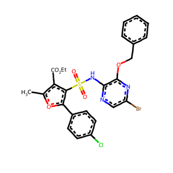 CCOC(=O)c1c(C)oc(-c2ccc(Cl)cc2)c1S(=O)(=O)Nc1ncc(Br)nc1OCc1ccccc1